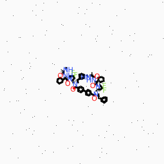 CN[C@@H](C)C(=O)N[C@H](C(=O)N1CC(F)(F)C[C@H]1CN(CCc1ccccc1)C(=O)c1ccc(-c2ccc(C(=O)N(CCc3ccccc3)C[C@@H]3CC(F)(F)CN3C(=O)[C@@H](NC(=O)[C@H](C)NC)C3CCCCC3)cc2)cc1)C1CCCCC1